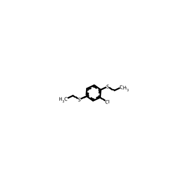 CCSc1ccc(SCC)c(Cl)c1